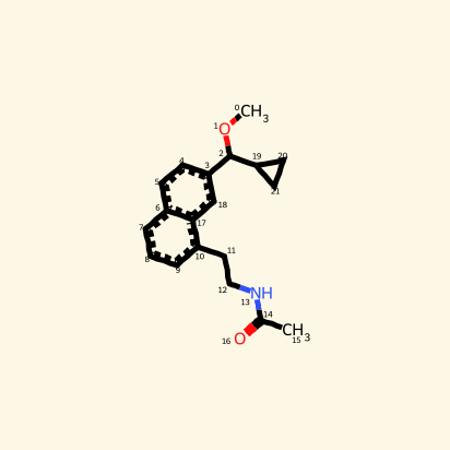 COC(c1ccc2cccc(CCNC(C)=O)c2c1)C1CC1